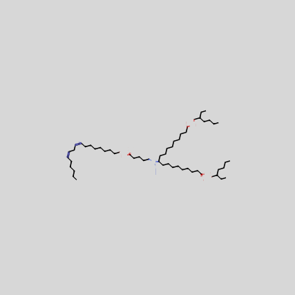 CCCCC/C=C\C/C=C\CCCCCCCCOC(=O)CCCCNC(CCCCCCCCC(=O)OCC(CC)CCCC)CCCCCCCCC(=O)OCC(CC)CCCC